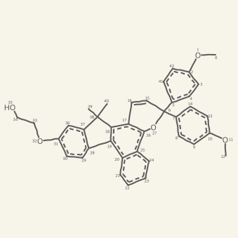 COc1ccc(C2(c3ccc(OC)cc3)C=Cc3c4c(c5ccccc5c3O2)-c2ccc(OCCO)cc2C4(C)C)cc1